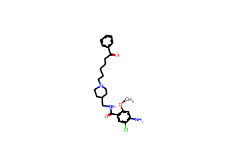 COc1cc(N)c(Cl)cc1C(=O)NCC1CCN(CCCCCC(=O)c2ccccc2)CC1